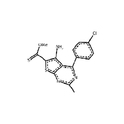 COC(=S)c1sc2nc(C)nc(-c3ccc(Cl)cc3)c2c1N